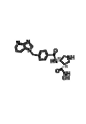 O=C(N[C@@H]1CNC[C@@H]1C(=O)NO)c1ccc(Cn2cnc3ncccc32)cc1